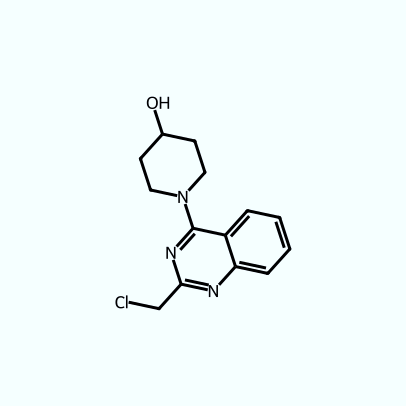 OC1CCN(c2nc(CCl)nc3ccccc23)CC1